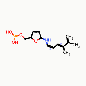 C=C(C)/C(C)=C/C=C\NC1CCC(COP(O)O)O1